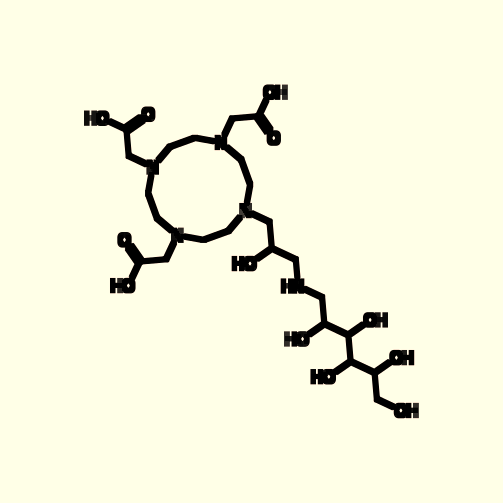 O=C(O)CN1CCN(CC(=O)O)CCN(CC(O)CNCC(O)C(O)C(O)C(O)CO)CCN(CC(=O)O)CC1